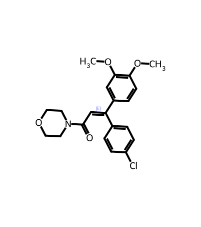 COc1ccc(/C(=C/C(=O)N2CCOCC2)c2ccc(Cl)cc2)cc1OC